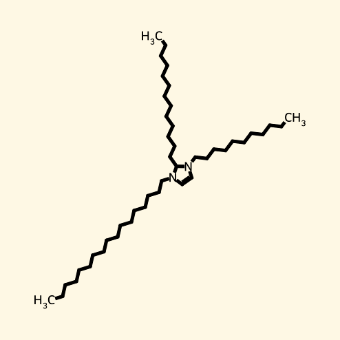 CCCCCCCCCCCCCCCCCN1C=CN(CCCCCCCCCCC)C1CCCCCCCCCCCCC